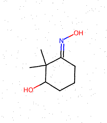 CC1(C)/C(=N/O)CCCC1O